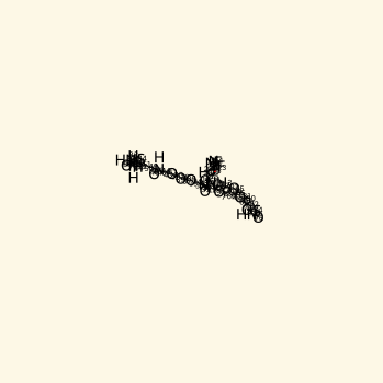 Cc1c(C)c2c(c(C)c1OC(=O)C[C@@H](NC(=O)c1ccc(C3(C(F)(F)F)N=N3)cc1)C(=O)NCCCOCCOCCOCCCNC(=O)CCCC[C@@H]1SC[C@@H]3NC(=O)N[C@@H]31)CCC(C)(COc1ccc(CC3SC(=O)NC3=O)cc1)O2